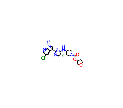 O=C(O[C@H]1CCOC1)N1CCC(Nc2nc(-c3c[nH]c4ncc(Cl)cc34)ncc2F)CC1